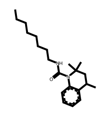 CCCCCCCCNC(=O)N1c2ccccc2C(C)CC1(C)C